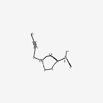 CC#CCN1CCC(N(C)C)C1